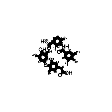 O=C(Nc1c(I)ccc(C(=O)O)c1I)c1cc(I)c(I)c(I)c1.O=C(O)Cc1cc(I)c(Oc2cc(I)c(O)c(I)c2)c(I)c1